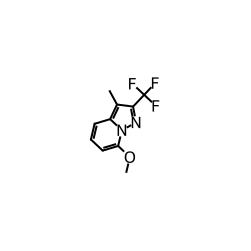 COc1cccc2c(C)c(C(F)(F)F)nn12